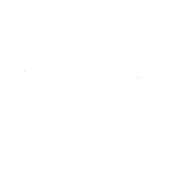 NC(=O)OCC#CC1(O)C2CC3CC(C2)CC1C3